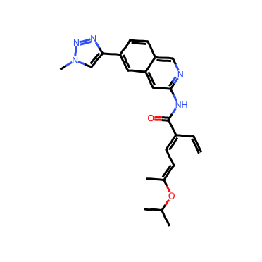 C=C/C(=C\C=C(/C)OC(C)C)C(=O)Nc1cc2cc(-c3cn(C)nn3)ccc2cn1